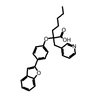 CCCCCC(Cc1cccnc1)(Oc1ccc(-c2cc3ccccc3o2)cc1)C(=O)O